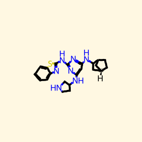 c1ccc2sc(Nc3nc(NC4CCNC4)cc(NC4C[C@H]5CCC4C5)n3)nc2c1